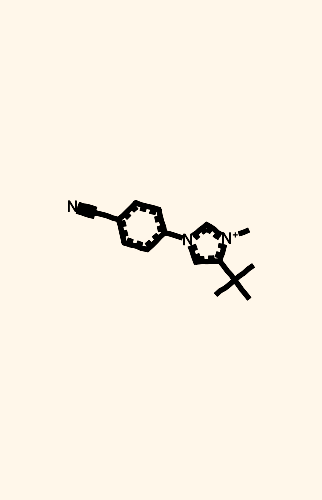 C[n+]1cn(-c2ccc(C#N)cc2)cc1C(C)(C)C